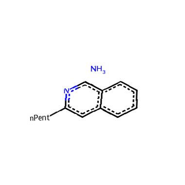 CCCCCc1cc2ccccc2cn1.N